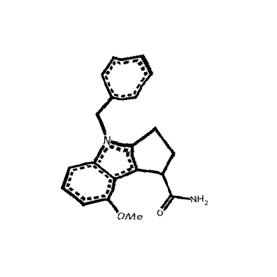 COc1cccc2c1c1c(n2Cc2ccccc2)CCC1C(N)=O